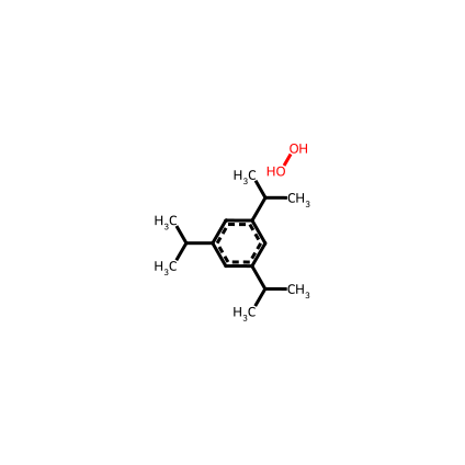 CC(C)c1cc(C(C)C)cc(C(C)C)c1.OO